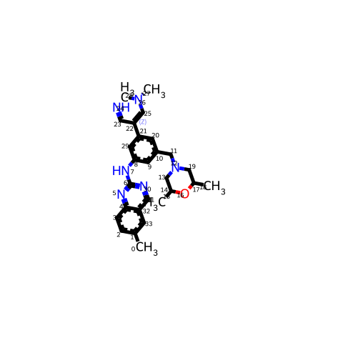 Cc1ccc2nc(Nc3cc(CN4CC(C)OC(C)C4)cc(/C(C=N)=C/N(C)C)c3)ncc2c1